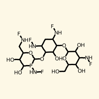 OCC1OC(OC2C(NF)CC(NF)C(OC3OC(CNF)C(O)C(O)P3NF)C2O)C(O)C(NF)C1O